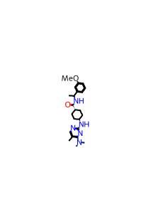 COc1cccc(C(C)NC(=O)[C@H]2CC[C@@H](Nc3ncc(C)c(N(C)C)n3)CC2)c1